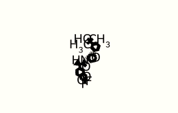 CC(C)(O)c1cccc([C@H]2C[C@@H](NC(=O)C3(c4ccc5c(c4)OC(F)(F)O5)CC3)CCO2)c1